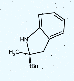 CC(C)(C)[C@]1(C)Cc2ccccc2N1